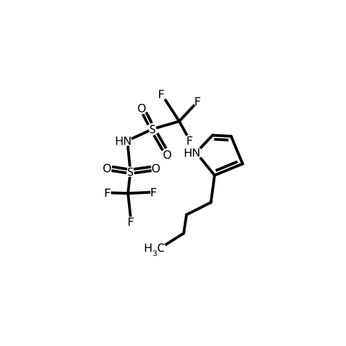 CCCCc1ccc[nH]1.O=S(=O)(NS(=O)(=O)C(F)(F)F)C(F)(F)F